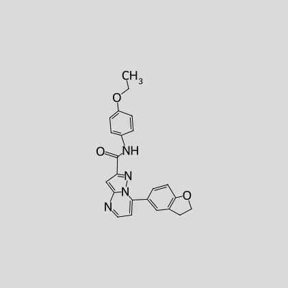 CCOc1ccc(NC(=O)c2cc3nccc(-c4ccc5c(c4)CCO5)n3n2)cc1